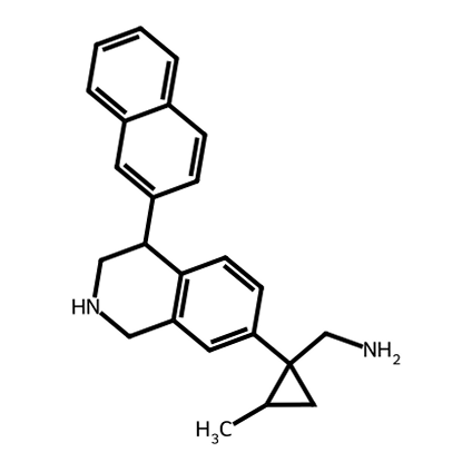 CC1CC1(CN)c1ccc2c(c1)CNCC2c1ccc2ccccc2c1